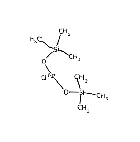 C[Si](C)(C)[O][Al+][O][Si](C)(C)C.[Cl-]